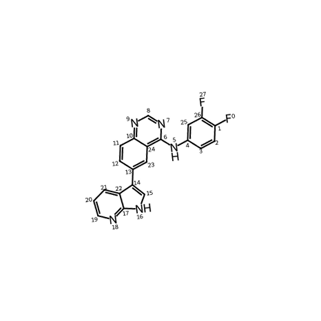 Fc1ccc(Nc2ncnc3ccc(-c4c[nH]c5ncccc45)cc23)cc1F